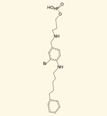 O=[PH](O)OCCCNCc1ccc(NCCCCCc2ccccc2)c(Br)c1